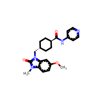 COc1ccc2c(c1)n(C[C@H]1CC[C@H](C(=O)Nc3ccncc3)CC1)c(=O)n2C